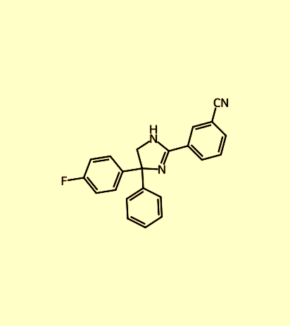 N#Cc1cccc(C2=NC(c3ccccc3)(c3ccc(F)cc3)CN2)c1